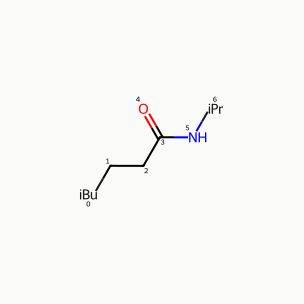 CCC(C)CCC(=O)NC(C)C